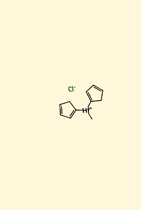 [CH3][Hf+]([C]1=CC=CC1)[C]1=CC=CC1.[Cl-]